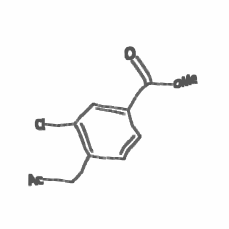 COC(=O)c1ccc(CC(C)=O)c(Cl)c1